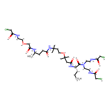 CC(C)(CCOC(C)(C)CC(=O)N[C@@H](CCC(=O)O)C(=O)N(CCNC(=O)CBr)CCNC(=O)CBr)NC(=O)CCC(NC(=O)COCCNC(=O)CCl)C(=O)O